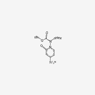 CCCCCCN(C(=O)OC(C)(C)C)n1ccc(S(=O)(=O)O)cc1=O